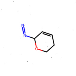 [N]=NC1C=CCCO1